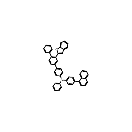 c1ccc(-c2ccc(-c3ccc(N(c4ccccc4)c4ccc(-c5cccc6ccccc56)cc4)cc3)cc2-c2cc3ccccc3o2)cc1